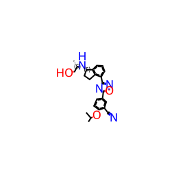 CC(C)Oc1ccc(-c2nc(-c3cccc4c3CC[C@@H]4N[C@@H](C)CO)no2)cc1C#N